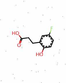 O=C(O)CCc1cc(F)ccc1O